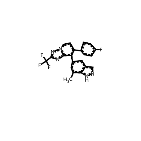 Cc1cc(-c2c(-c3ccc(F)cc3)ccn3nc(C(F)(F)F)nc23)cc2cn[nH]c12